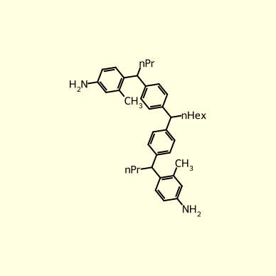 CCCCCCC(c1ccc(C(CCC)c2ccc(N)cc2C)cc1)c1ccc(C(CCC)c2ccc(N)cc2C)cc1